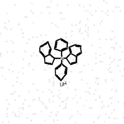 C1=CC([Si](c2ccccc2)(c2ccccc2)C2C=Cc3ccccc32)c2ccccc21.[LiH]